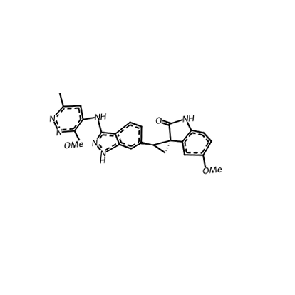 COc1ccc2c(c1)[C@]1(C[C@H]1c1ccc3c(Nc4cc(C)nnc4OC)n[nH]c3c1)C(=O)N2